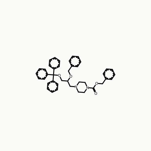 O=C(OCc1ccccc1)N1CCN(CC(COC(c2ccccc2)(c2ccccc2)c2ccccc2)OCc2ccccc2)CC1